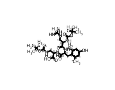 Cc1cc(O)cc(C)c1CC(NC(=O)C(CNC(=N)N)NC(=O)OC(C)(C)C)C(=O)NC(CNC(=O)OC(C)(C)C)C(=O)O